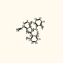 N#Cc1cccc2c1nc(-c1c(F)cccc1F)n2Cc1c(F)cccc1F